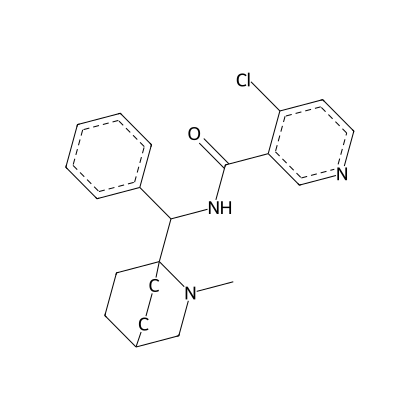 CN1CC2CCC1(C(NC(=O)c1cnccc1Cl)c1ccccc1)CC2